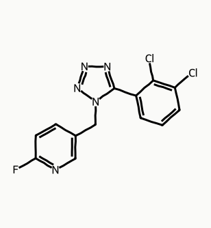 Fc1ccc(Cn2nnnc2-c2cccc(Cl)c2Cl)cn1